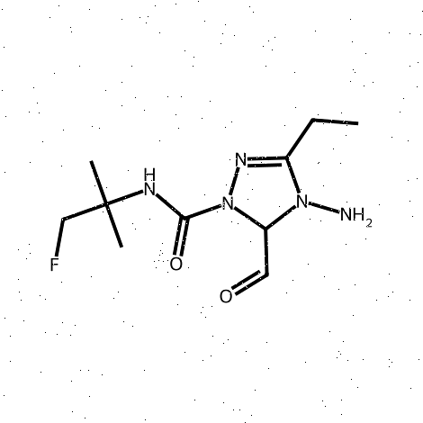 CCC1=NN(C(=O)NC(C)(C)CF)C(C=O)N1N